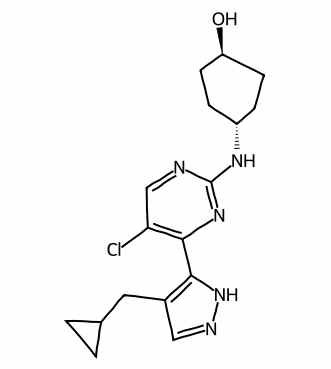 O[C@H]1CC[C@H](Nc2ncc(Cl)c(-c3[nH]ncc3CC3CC3)n2)CC1